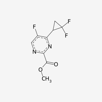 COC(=O)c1ncc(F)c(C2CC2(F)F)n1